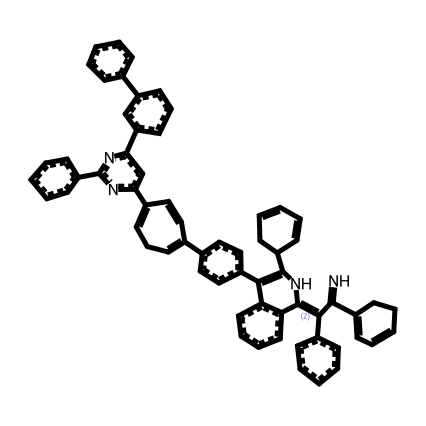 N=C(C1=CC=CCC1)/C(=C1\NC(C2C=CC=CC2)=C(c2ccc(C3=CCC=C(c4cc(-c5cccc(-c6ccccc6)c5)nc(-c5ccccc5)n4)C=C3)cc2)c2ccccc21)c1ccccc1